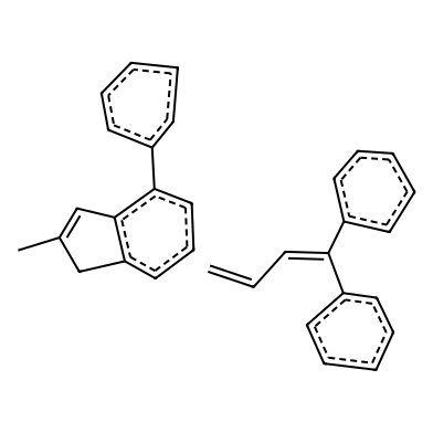 C=CC=C(c1ccccc1)c1ccccc1.CC1=Cc2c(cccc2-c2ccccc2)C1